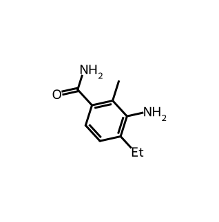 CCc1ccc(C(N)=O)c(C)c1N